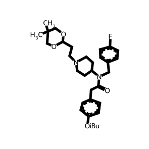 CC(C)COc1ccc(CC(=O)N(Cc2ccc(F)cc2)C2CCN(CCC3OCC(C)(C)CO3)CC2)cc1